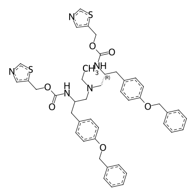 CCN(CC(Cc1ccc(OCc2ccccc2)cc1)NC(=O)OCc1cncs1)C[C@@H](Cc1ccc(OCc2ccccc2)cc1)NC(=O)OCc1cncs1